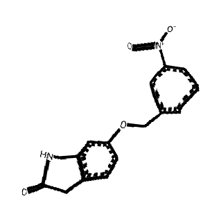 O=C1Cc2ccc(OCc3cccc([N+](=O)[O-])c3)cc2N1